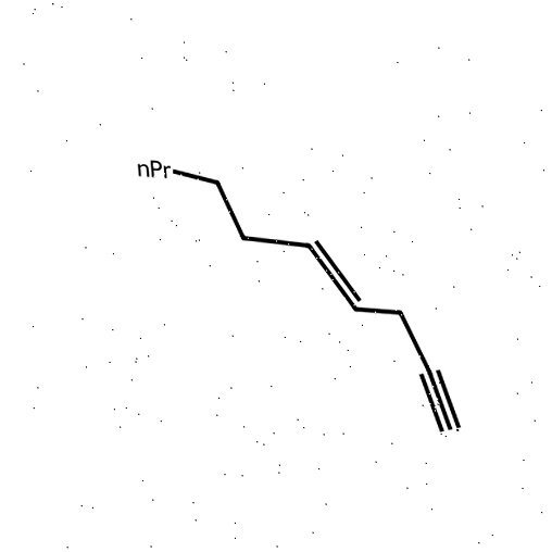 [C]#CCC=CCCCCC